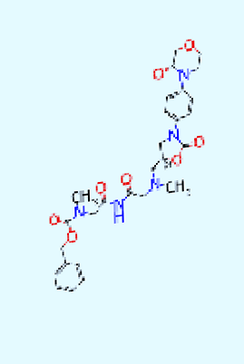 CN(CC(=O)NC(=O)CN(C)C(=O)OCc1ccccc1)C[C@H]1CN(c2ccc(N3CCOCC3=O)cc2)C(=O)O1